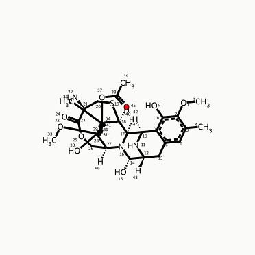 COc1c(C)cc2c(c1O)[C@H]1N[C@H](C2)[C@H](O)N2[C@H]1[C@@H]1SC[C@H](N)C(=O)OC[C@H]2c2c(O)c(OC)c(C)c(OC(C)=O)c21